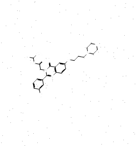 CC(C)NC(=O)Cn1c(-c2cccc(Cl)c2)nc2ccc(OCCCN3CCOCC3)cc2c1=O